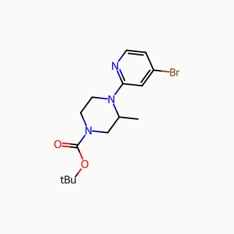 CC1CN(C(=O)OC(C)(C)C)CCN1c1cc(Br)ccn1